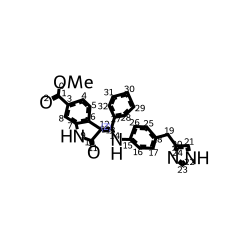 COC(=O)c1ccc2c(c1)NC(=O)/C2=C(\Nc1ccc(Cc2c[nH]cn2)cc1)c1ccccc1